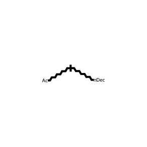 CCCCCCCCCCCCCCCCCCC(C)(C)CCCCCCCCC(C)=O